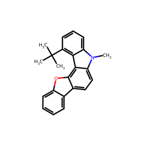 Cn1c2cccc(C(C)(C)C)c2c2c3oc4ccccc4c3ccc21